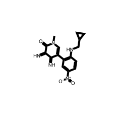 CN1C=C(c2cc([N+](=O)[O-])ccc2NCC2CC2)C(=N)C(=N)C1=O